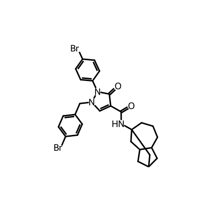 O=C(NC12CCCC3CC(CC3C1)C2)c1cn(Cc2ccc(Br)cc2)n(-c2ccc(Br)cc2)c1=O